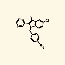 Cc1c(-c2cccnc2)n(Cc2ccc(C#N)cc2)c2ccc(Cl)cc12